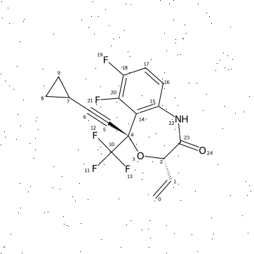 C=C[C@@H]1O[C@](C#CC2CC2)(C(F)(F)F)c2c(ccc(F)c2F)NC1=O